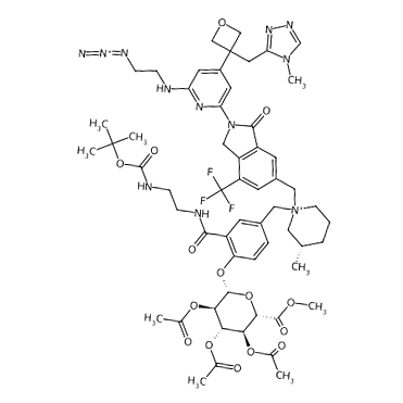 COC(=O)[C@H]1O[C@@H](Oc2ccc(C[N+]3(Cc4cc5c(c(C(F)(F)F)c4)CN(c4cc(C6(Cc7nncn7C)COC6)cc(NCCN=[N+]=[N-])n4)C5=O)CCC[C@H](C)C3)cc2C(=O)NCCNC(=O)OC(C)(C)C)[C@H](OC(C)=O)[C@@H](OC(C)=O)[C@@H]1OC(C)=O